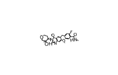 CNC(=O)c1ccc(Cc2cc3c(=O)n([C@H]4CCOC[C@@H]4O)cnc3cc2OC)cc1F